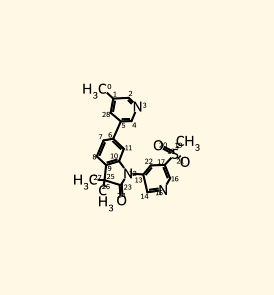 Cc1cncc(-c2ccc3c(c2)N(c2cncc(S(C)(=O)=O)c2)C(=O)C3(C)C)c1